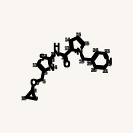 O=C(Nc1nc(COC2CC2)cs1)c1cccn1Cc1ccncc1